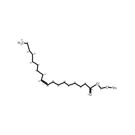 [2H]CCOC(=O)CCCCCCC/C=C\CCCCCCCC